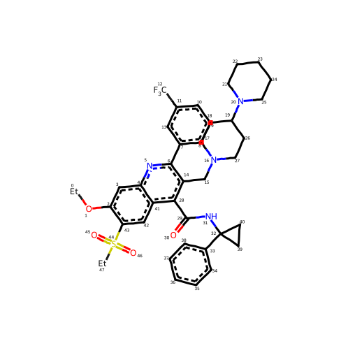 CCOc1cc2nc(-c3cccc(C(F)(F)F)c3)c(CN3CCC(N4CCCCC4)CC3)c(C(=O)NC3(c4ccccc4)CC3)c2cc1S(=O)(=O)CC